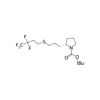 CC(C)(C)OC(=O)N1CCC[C@H]1CCCSCCC(F)(F)C(F)(F)F